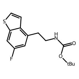 CC(C)(C)OC(=O)NCCc1cc(F)cc2sccc12